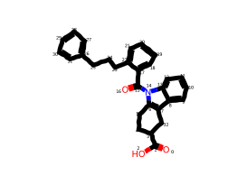 O=C(O)C1CCc2c(c3ccccc3n2C(=O)c2ccccc2CCCc2ccccc2)C1